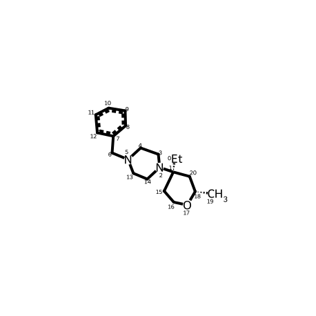 CC[C@@]1(N2CCN(Cc3ccccc3)CC2)CCO[C@@H](C)C1